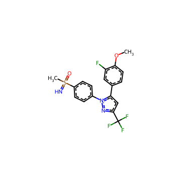 COc1ccc(-c2cc(C(F)(F)F)nn2-c2ccc(S(C)(=N)=O)cc2)cc1F